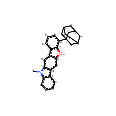 Cn1c2ccccc2c2cc3oc4c(C56CC7CC(CC(C7)C5)C6)cccc4c3cc21